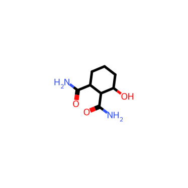 NC(=O)C1CCCC(O)C1C(N)=O